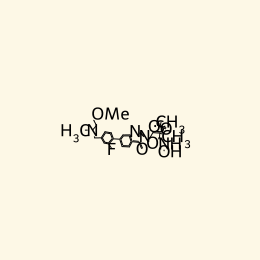 COCCN(C)Cc1ccc(-c2ccc3c(=O)n(CCC(C)(C(=O)NO)S(C)(=O)=O)cnc3c2)c(F)c1